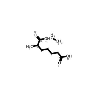 CC.CC(CCCCC(=O)O)C(=O)O